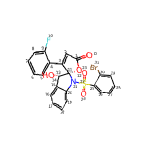 O=C1C=C(c2ccccc2F)[C@]2(O1)[C@@H](O)c1ccccc1N2S(=O)(=O)c1ccccc1Br